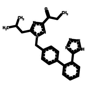 CCC(=O)c1nc(CC(C)C)n(Cc2ccc(-c3ccccc3-c3nnn[nH]3)cc2)n1